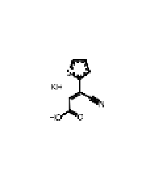 N#CC(=CC(=O)O)c1cccs1.[KH]